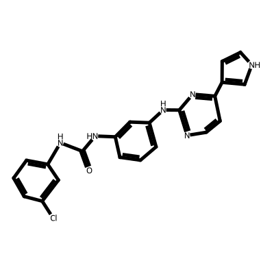 O=C(Nc1cccc(Cl)c1)Nc1cccc(Nc2nccc(-c3cc[nH]c3)n2)c1